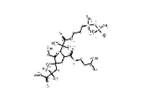 CCCCOC(=O)C(C)(CC(CC(C)(C)C(=O)OCCC[Si](C)(C)O[Si](C)(C)C)C(=O)OCCC(CC)CCCC)CC(C)(CC)C(=O)OC